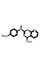 COc1ccc(N(C)C2=NC(C=O)c3cccnc3S2)cc1